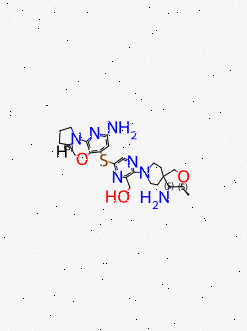 C[C@@H]1OCC2(CCN(c3ncc(Sc4cc(N)nc5c4OC[C@@H]4CCCN54)nc3CO)CC2)[C@@H]1N